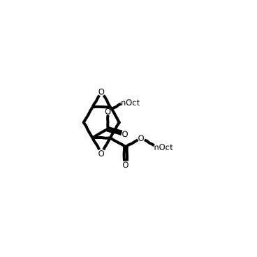 CCCCCCCCOC(=O)C12CC3OC3CC1(C(=O)OCCCCCCCC)O2